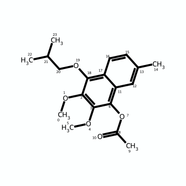 COc1c(OC)c(OC(C)=O)c2cc(C)ccc2c1OCC(C)C